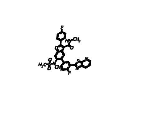 CNC(=O)c1c(-c2ccc(F)cc2)oc2cc(N(C)S(C)(=O)=O)c(-c3ccc(F)c(-c4nc5cccnc5s4)c3)cc12